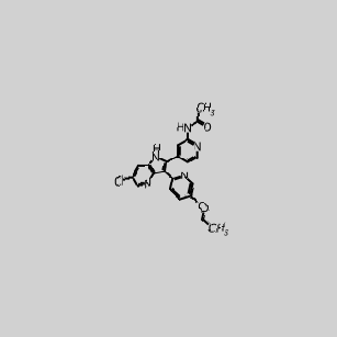 CCOc1ccc(-c2c(-c3ccnc(NC(C)=O)c3)[nH]c3cc(Cl)cnc23)nc1